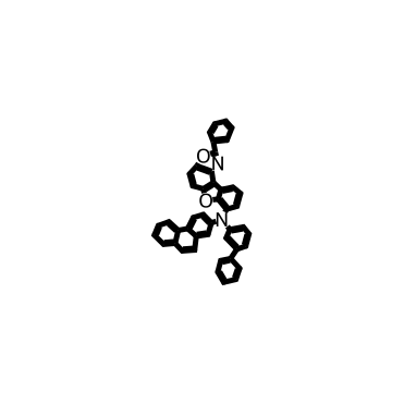 c1ccc(-c2cccc(N(c3ccc4c(ccc5ccccc54)c3)c3cccc4c3oc3ccc5oc(-c6ccccc6)nc5c34)c2)cc1